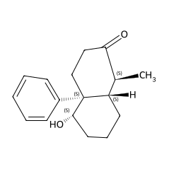 C[C@@H]1C(=O)CC[C@]2(c3ccccc3)[C@@H](O)CCC[C@@H]12